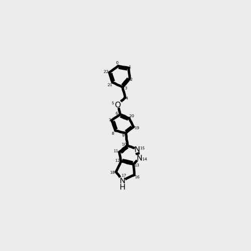 c1ccc(COc2ccc(-c3cc4c(nn3)CNC4)cc2)cc1